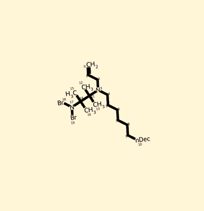 C=CCN(CCCCCCCCCCCCCCCC)C(C)(C)C(C)(C)N(Br)Br